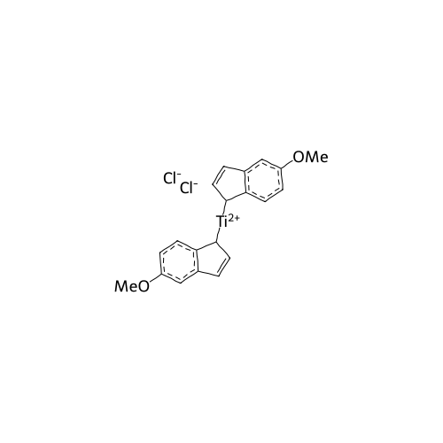 COc1ccc2c(c1)C=C[CH]2[Ti+2][CH]1C=Cc2cc(OC)ccc21.[Cl-].[Cl-]